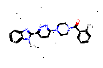 Cn1c(-c2ccc(N3CCN(C(=O)c4ccccc4C(F)(F)F)CC3)nn2)nc2ccccc21